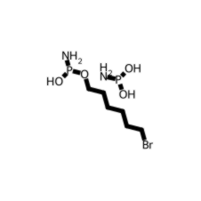 NP(O)O.NP(O)OCCCCCCBr